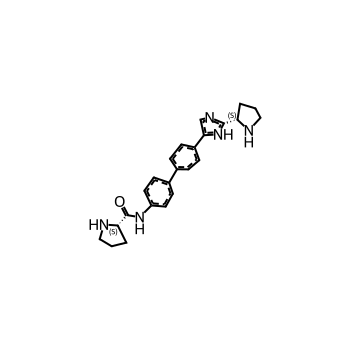 O=C(Nc1ccc(-c2ccc(-c3cnc([C@@H]4CCCN4)[nH]3)cc2)cc1)[C@@H]1CCCN1